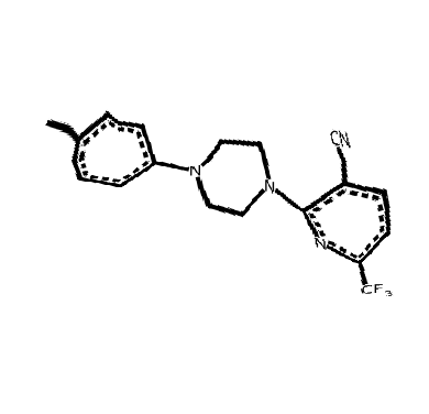 Cc1ccc(N2CCN(c3nc(C(F)(F)F)ccc3C#N)CC2)cc1